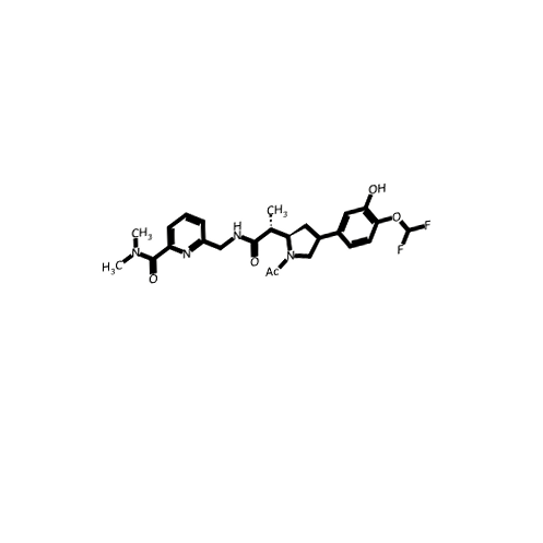 CC(=O)N1CC(c2ccc(OC(F)F)c(O)c2)C[C@@H]1[C@@H](C)C(=O)NCc1cccc(C(=O)N(C)C)n1